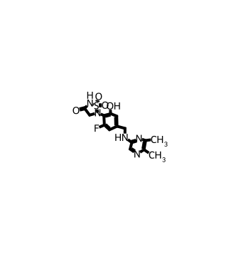 Cc1ncc(NCc2cc(O)c(N3CC(=O)NS3(=O)=O)c(F)c2)nc1C